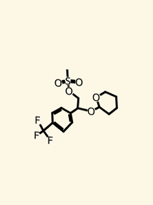 CS(=O)(=O)OCC(OC1CCCCO1)c1ccc(C(F)(F)F)cc1